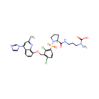 Cc1cc(-n2ccnc2)c2cccc(OCc3c(Cl)ccc(S(=O)(=O)N4CCC[C@H]4C(=O)NCCCN(C)C(=O)O)c3Cl)c2n1